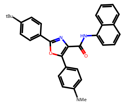 CNc1ccc(-c2oc(-c3ccc(C(C)(C)C)cc3)nc2C(=O)Nc2cccc3ccccc23)cc1